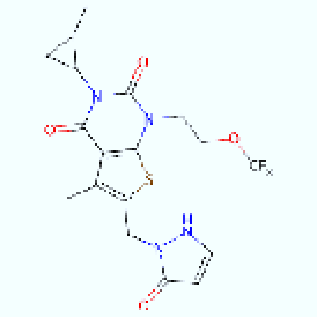 Cc1c(Cn2[nH]ccc2=O)sc2c1c(=O)n(C1CC1C)c(=O)n2CCOC(F)(F)F